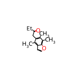 CCC(=O)Cc1c(C)c(C)c2occc2c1C